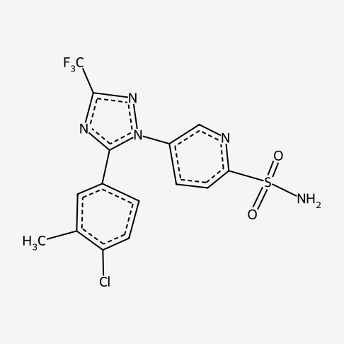 Cc1cc(-c2nc(C(F)(F)F)nn2-c2ccc(S(N)(=O)=O)nc2)ccc1Cl